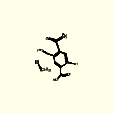 CO.O=C(O)c1cc(O)c(C(=O)O)cc1O